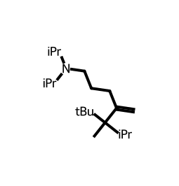 C=C(CCCN(C(C)C)C(C)C)C(C)(C(C)C)C(C)(C)C